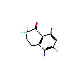 Nc1cc(Cl)c(N)c2c1C(=O)C(F)(F)CC2